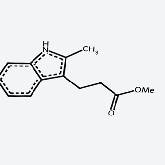 COC(=O)CCc1c(C)[nH]c2ccccc12